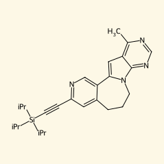 Cc1ncnc2c1cc1n2CCCc2cc(C#C[Si](C(C)C)(C(C)C)C(C)C)ncc2-1